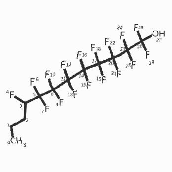 CCCC(F)C(F)(F)C(F)(F)C(F)(F)C(F)(F)C(F)(F)C(F)(F)C(F)(F)C(O)(F)F